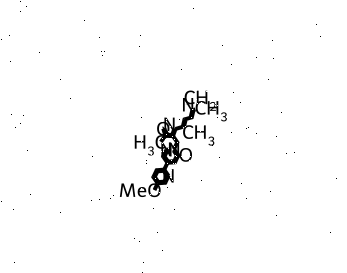 C=N/C(C)=C\C=C(/C)c1noc(C)c1Cn1ncc(-c2ccc(OC)cn2)cc1=O